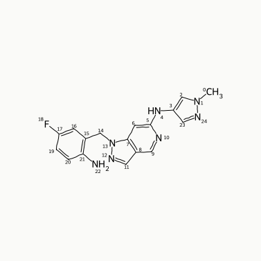 Cn1cc(Nc2cc3c(cn2)cnn3Cc2cc(F)ccc2N)cn1